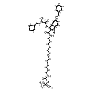 CN(CCc1ccccc1)C(=O)Cc1c(C(=O)NCCCOCCOCCOCCCNC(=O)OC(C)(C)C)[nH]c2ccc(OCc3ccccc3)cc12